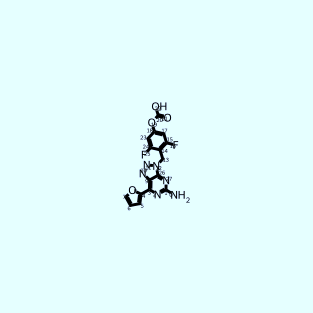 Nc1nc(-c2ccco2)c2nnn(Cc3c(F)cc(OC(=O)O)cc3F)c2n1